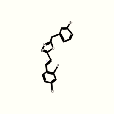 Fc1cc(Cl)ccc1/C=C/c1nnc(Cc2cccc(Br)c2)o1